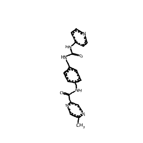 Cc1cnc(C(=O)Nc2ccc(NC(=O)Nc3ccncc3)cc2)cn1